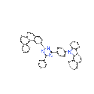 c1ccc(-c2nc(-c3ccc(-n4c5ccccc5c5ccc6ccccc6c54)cc3)nc(-c3ccc4ccc5ccc6ccccc6c5c4c3)n2)cc1